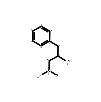 CC(C)C(Cc1ccccc1)C[SiH](F)F